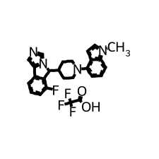 Cn1ccc2c(N3CCC(C4c5c(F)cccc5-c5cncn54)CC3)cccc21.O=C(O)C(F)(F)F